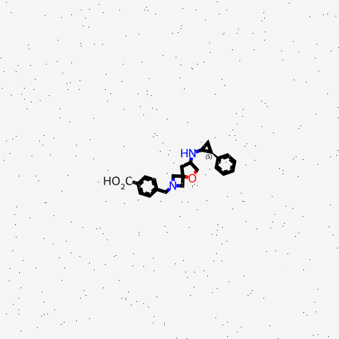 O=C(O)c1ccc(CN2CC3(CC(NC4C[C@H]4c4ccccc4)CO3)C2)cc1